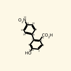 O=C(O)c1ccc(O)cc1-c1ccc([N+](=O)[O-])cc1